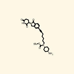 CC(C)(C)OC(=O)N(CCCCCC#Cc1ccc2c(c1)CN(C1CCC(=O)NC1=O)C2=O)[C@H]1CC[C@@H](N)CC1